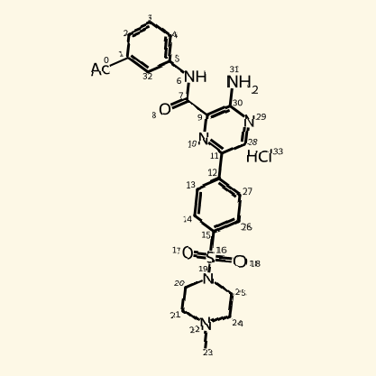 CC(=O)c1cccc(NC(=O)c2nc(-c3ccc(S(=O)(=O)N4CCN(C)CC4)cc3)cnc2N)c1.Cl